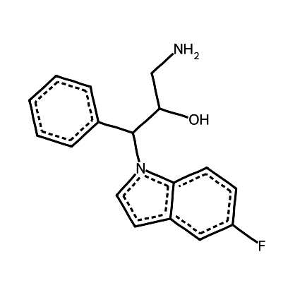 NCC(O)C(c1ccccc1)n1ccc2cc(F)ccc21